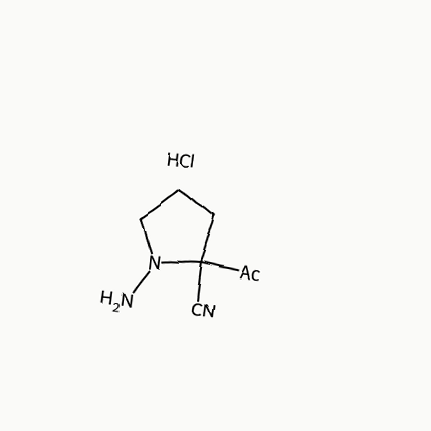 CC(=O)C1(C#N)CCCN1N.Cl